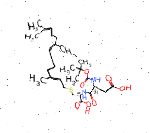 CC(C)=CCCC(C)=CCCC(C)=CCSC[C@H](NC(=O)[C@H](CC(=O)O)NC(=O)OC(C)(C)C)C(=O)O